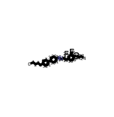 CCCCCc1ccc(C2CCC(/C=C/CCc3ccc(OCCC)c(F)c3F)CC2)cc1